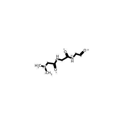 CN(C)CC(=O)NCC(=O)NC[C]=O